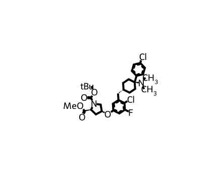 COC(=O)[C@@H]1C[C@H](Oc2cc(F)c(Cl)c(C[C@H]3CC[C@](c4ccc(Cl)cc4)(N(C)C)CC3)c2)CN1C(=O)OC(C)(C)C